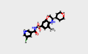 O=C(NS(=O)(=O)c1cc2c(c([N+](=O)[O-])c1)N[C@H](C1CCOCC1)CO2)c1cncc(F)c1